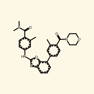 Cc1cc(Nc2nc3cccc(-c4ccc(C(=O)N5CCOCC5)c(C)c4)c3o2)ccc1C(=O)N(C)C